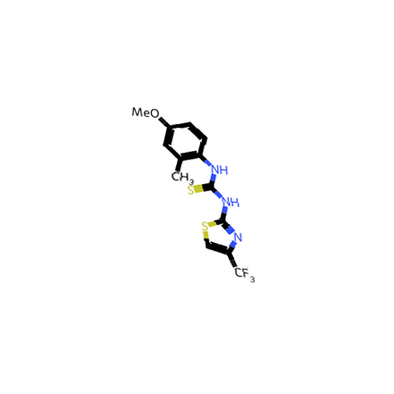 COc1ccc(NC(=S)Nc2nc(C(F)(F)F)cs2)c(C)c1